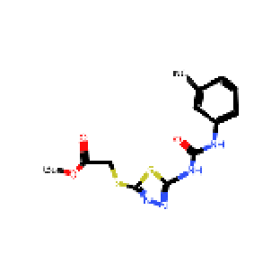 CC(C)(C)OC(=O)CSc1nnc(NC(=O)Nc2cccc(C#N)c2)s1